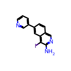 Nc1ncc2ccc(-c3cccnc3)cc2c1I